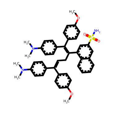 COc1ccc(C(=CCC(=C(c2ccc(OC)cc2)c2ccc(N(C)C)cc2)c2cc(S(N)(=O)=O)cc3ccccc23)c2ccc(N(C)C)cc2)cc1